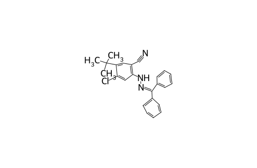 CC(C)(C)c1cc(C#N)c(NN=C(c2ccccc2)c2ccccc2)cc1Cl